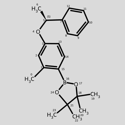 Cc1cc(O[C@@H](C)c2ccccc2)ccc1B1OC(C)(C)C(C)(C)O1